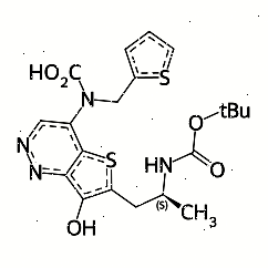 C[C@@H](Cc1sc2c(N(Cc3cccs3)C(=O)O)cnnc2c1O)NC(=O)OC(C)(C)C